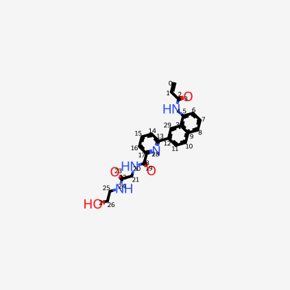 C=CC(=O)Nc1cccc2ccc(-c3cccc(C(=O)NCC(=O)NCCO)n3)cc12